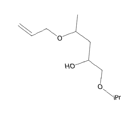 C=CCOC(C)CC(O)COC(C)C